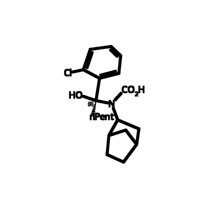 CCCCC[C@](O)(c1ccccc1Cl)N(C(=O)O)C1CC2CCC1C2